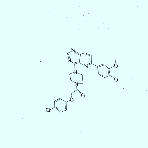 COc1ccc(-c2ccc3ncnc(N4CCN(C(=O)COc5ccc(Cl)cc5)CC4)c3n2)cc1OC